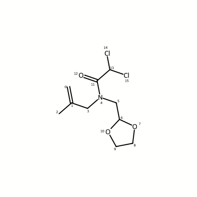 C=C(C)CN(CC1OCCO1)C(=O)C(Cl)Cl